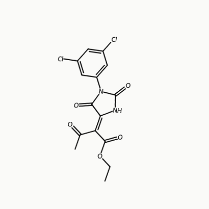 CCOC(=O)C(C(C)=O)=C1NC(=O)N(c2cc(Cl)cc(Cl)c2)C1=O